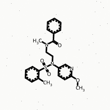 COc1ccc(N(CCN(C)C(=O)c2ccccc2)S(=O)(=O)c2ccccc2C)cn1